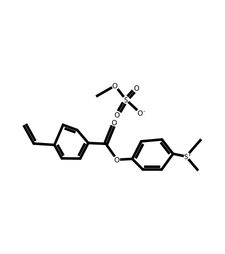 C=Cc1ccc(C(=O)Oc2ccc([S+](C)C)cc2)cc1.COS(=O)(=O)[O-]